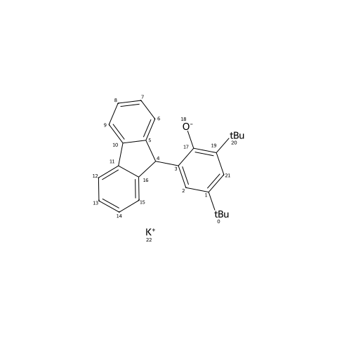 CC(C)(C)c1cc(C2c3ccccc3-c3ccccc32)c([O-])c(C(C)(C)C)c1.[K+]